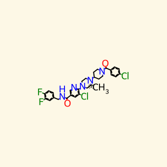 C[C@H]1CN(c2ncc(C(=O)NCc3ccc(F)c(F)c3)cc2Cl)CCN1C1CCN(C(=O)c2ccc(Cl)cc2)CC1